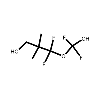 CC(C)(CO)C(F)(F)OC(O)(F)F